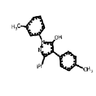 Cc1ccc(-c2c(C(C)C)nn(-c3cccc(C)c3)c2O)cc1